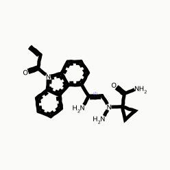 C=CC(=O)n1c2ccccc2c2c(/C(N)=C/N(N)C3(C(N)=O)CC3)cccc21